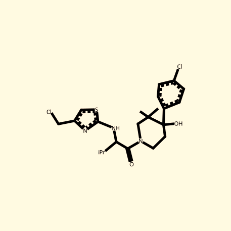 CC(C)C(Nc1nc(CCl)cs1)C(=O)N1CCC(O)(c2ccc(Cl)cc2)C(C)(C)C1